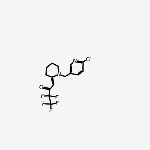 O=C(C=C1CCCCN1Cc1ccc(Cl)nc1)C(F)(F)C(F)(F)F